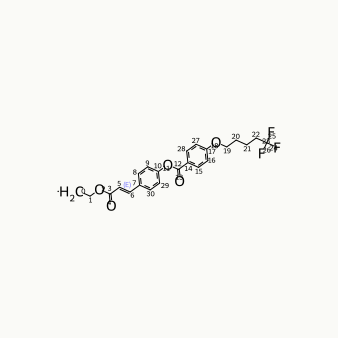 [CH2]COC(=O)/C=C/c1ccc(OC(=O)c2ccc(OCCCCC(F)(F)F)cc2)cc1